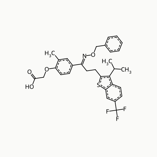 Cc1cc(C(CCc2sc3cc(C(F)(F)F)ccc3c2C(C)C)=NOCc2ccccc2)ccc1OCC(=O)O